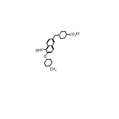 CCOC(=O)C1CCN(Cc2ccc3c(C=O)c(O[C@H]4CC[C@@H](C)CC4)ccc3c2)CC1